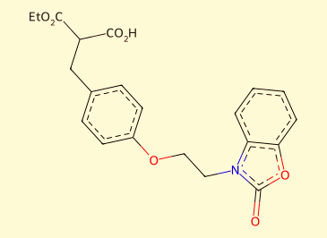 CCOC(=O)C(Cc1ccc(OCCn2c(=O)oc3ccccc32)cc1)C(=O)O